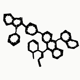 C=C/C=C(/c1c2ccccc2c(-c2cccc3ccccc23)c2ccc(-c3ccc(-c4nc5ccccc5n4-c4ccccc4)cc3)cc12)C1C=CC=CC1C